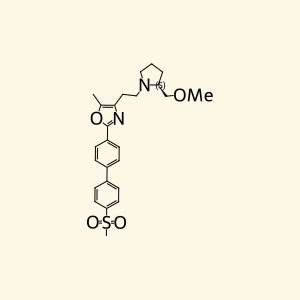 COC[C@@H]1CCCN1CCc1nc(-c2ccc(-c3ccc(S(C)(=O)=O)cc3)cc2)oc1C